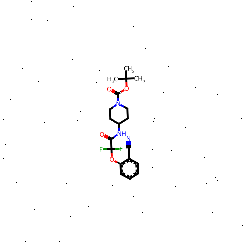 CC(C)(C)OC(=O)N1CCC(NC(=O)C(F)(F)Oc2ccccc2C#N)CC1